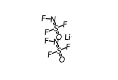 O=S(F)(F)=NF.O=S(F)(F)=NF.[Li]